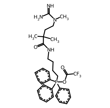 CN(CCC(C)(C)C(=O)NCCCCP(OC(=O)C(F)(F)F)(c1ccccc1)(c1ccccc1)c1ccccc1)C(=N)N